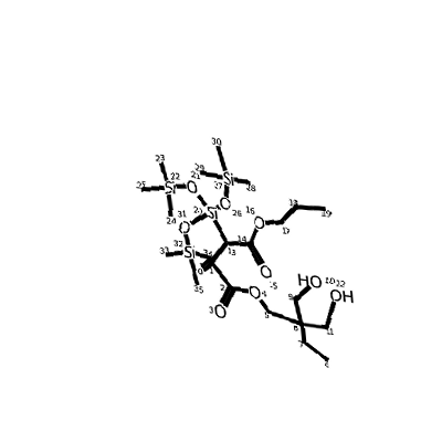 C=C(C(=O)OCC(CC)(CO)CO)C(C(=O)OCCC)[Si](O[Si](C)(C)C)(O[Si](C)(C)C)O[Si](C)(C)C